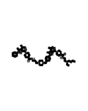 CCCCN(CC)CCNC(=O)C1CCN(c2nnc(C)c3c(C)n(-c4ccc(CN5CCN(CCCNC(=O)C6CCN(c7nnc(C)c8c(C)n(-c9ccccc9)nc78)CC6)CC5)cc4)nc23)CC1